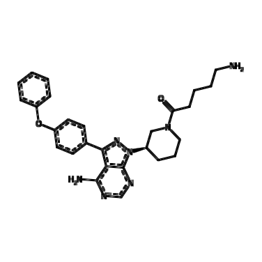 NCCCCC(=O)N1CCC[C@@H](n2nc(-c3ccc(Oc4ccccc4)cc3)c3c(N)ncnc32)C1